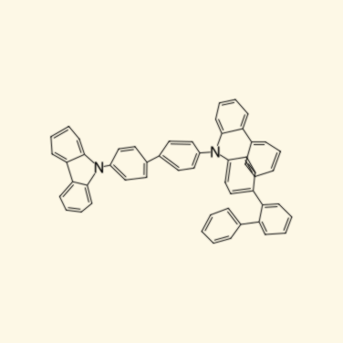 c1ccc(-c2ccccc2-c2ccc(N(c3ccc(-c4ccc(-n5c6ccccc6c6ccccc65)cc4)cc3)c3ccccc3-c3ccccc3)cc2)cc1